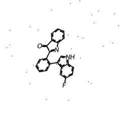 O=C1C(c2ccccc2-c2c[nH]c3ccc(F)cc23)=Nc2ccccc21